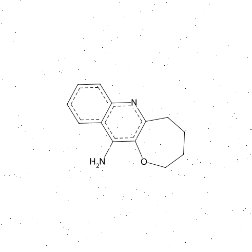 Nc1c2c(nc3ccccc13)CCCCO2